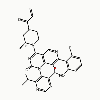 C=CC(=O)N1CCN(c2nc(=O)n(-c3c(C(C)C)ncnc3C(C)C)c3c(F)c(-c4c(O)cccc4F)ncc23)[C@@H](C)C1